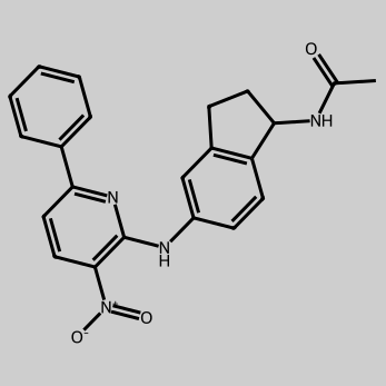 CC(=O)NC1CCc2cc(Nc3nc(-c4ccccc4)ccc3[N+](=O)[O-])ccc21